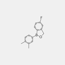 Cc1ccc(B2OCc3cc(F)ccc32)cc1C